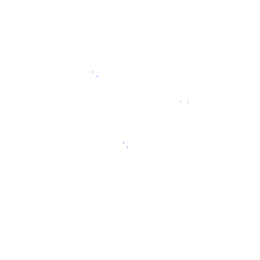 CC1Sc2ncccc2N(CC(=O)O)C1=S